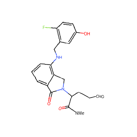 CNC(=O)C(CCC=O)N1Cc2c(NCc3cc(O)ccc3F)cccc2C1=O